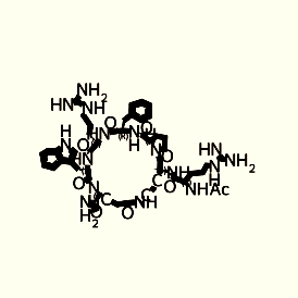 CC(=O)N[C@@H](CCCNC(=N)N)C(=O)N[C@H]1CCCNC(=O)CC[C@@H](C(N)=O)NC(=O)[C@H](Cc2c[nH]c3ccccc23)NC(=O)[C@H](CCCNC(=N)N)NC(=O)[C@@H](Cc2ccccc2)NC(=O)[C@@H]2CCCN2C1=O